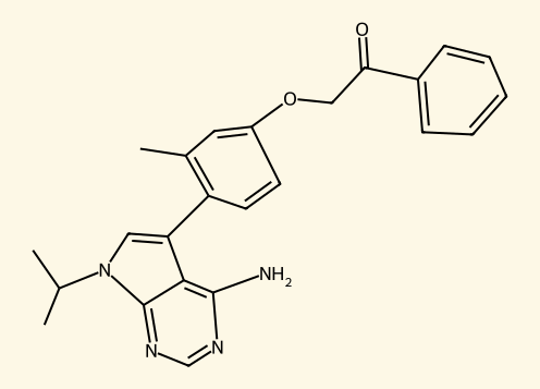 Cc1cc(OCC(=O)c2ccccc2)ccc1-c1cn(C(C)C)c2ncnc(N)c12